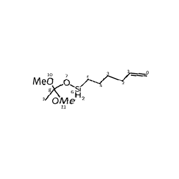 C=CCCCC[SiH2]OC(C)(OC)OC